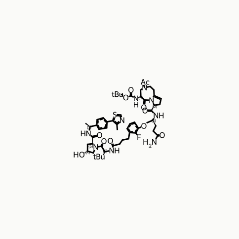 CC(=O)N1CCC2=CC[C@@H](C(=O)N[C@@H](CCC(N)=O)COc3cccc(CCCC(=O)N[C@H](C(=O)N4C[C@H](O)C[C@H]4C(=O)N[C@@H](C)c4ccc(-c5scnc5C)cc4)C(C)(C)C)c3F)N2C(=O)[C@@H](NC(=O)OC(C)(C)C)C1